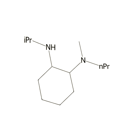 CCCN(C)C1CCCCC1NC(C)C